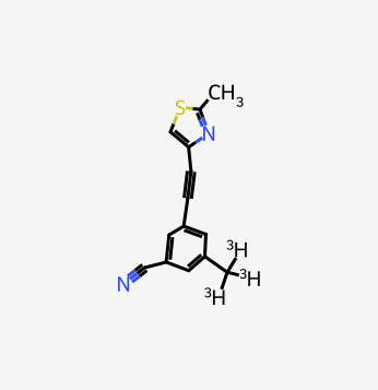 [3H]C([3H])([3H])c1cc(C#N)cc(C#Cc2csc(C)n2)c1